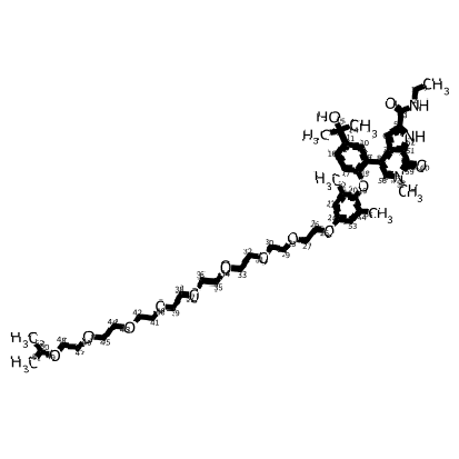 CCNC(=O)c1cc2c(-c3cc(C(C)(C)O)ccc3Oc3c(C)cc(OCCOCCOCCOCCOCCOCCOCCOCCOC(C)C)cc3C)cn(C)c(=O)c2[nH]1